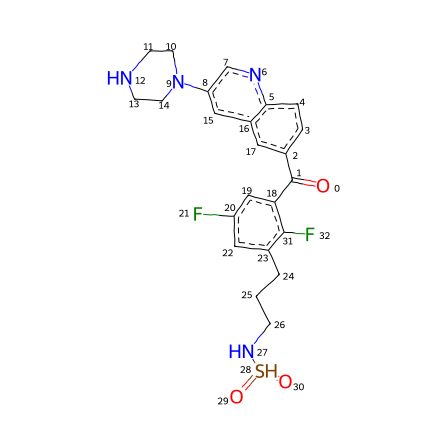 O=C(c1ccc2ncc(N3CCNCC3)cc2c1)c1cc(F)cc(CCCN[SH](=O)=O)c1F